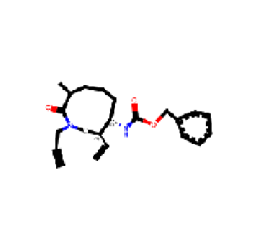 C#CCN1C[C@H](C=C)[C@@H](NC(=O)OCc2ccccc2)CCCC(C)C1=O